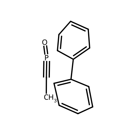 CC#P=O.c1ccc(-c2ccccc2)cc1